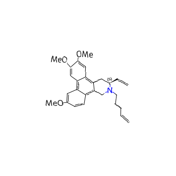 C=CCCCN1Cc2c(c3cc(OC)c(OC)cc3c3cc(OC)ccc23)C[C@H]1C=C